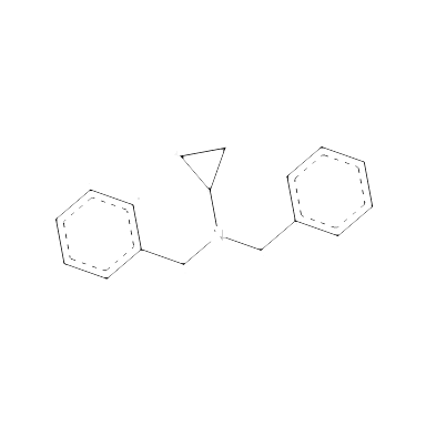 c1ccc(CN(Cc2ccccc2)C2CC2)cc1